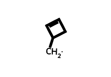 [CH2]C1C=CC1